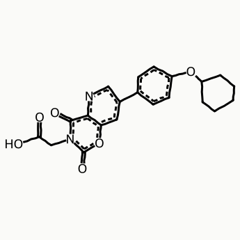 O=C(O)Cn1c(=O)oc2cc(-c3ccc(OC4CCCCC4)cc3)cnc2c1=O